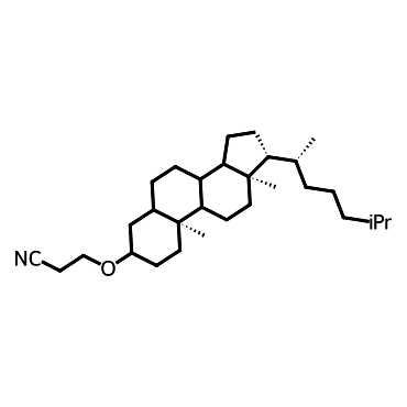 CC(C)CCC[C@@H](C)[C@H]1CCC2C3CCC4CC(OCCC#N)CC[C@]4(C)C3CC[C@@]21C